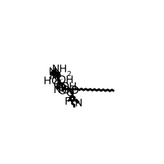 CCCCCCCCCCCCCCCCCCOC[C@H](COP(=O)(O)OC[C@@H](OC#N)[C@@H](O)[C@@H](O)c1ccc2c(N)ncnn12)OCc1cc(F)c(CCC)c(C#N)c1